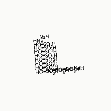 O=S(=O)(O)O.O=S(=O)(O)O.O=S(=O)(O)O.O=S(=O)(O)O.O=S(=O)(O)O.O=S(=O)(O)O.O=S(=O)(O)O.O=S(=O)(O)O.O=S(=O)(O)O.O=S(=O)(O)O.[NaH].[NaH].[NaH].[NaH]